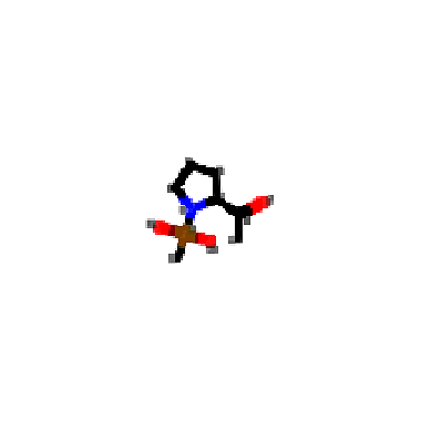 CC(=O)[C@@H]1CCCN1S(C)(=O)=O